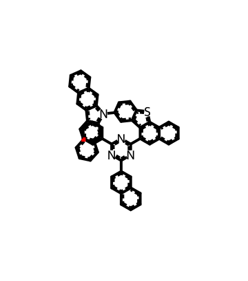 c1ccc(-c2nc(-c3ccc4ccccc4c3)nc(-c3cc4ccccc4c4sc5ccc(-n6c7cc8ccccc8cc7c7cc8ccccc8cc76)cc5c34)n2)cc1